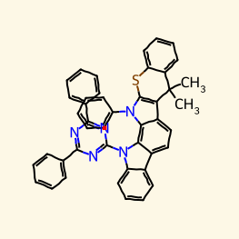 CC1(C)c2ccccc2Sc2c1c1ccc3c4ccccc4n(-c4nc(-c5ccccc5)nc(-c5ccccc5)n4)c3c1n2-c1ccccc1